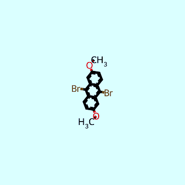 COc1ccc2c(Br)c3cc(OC)ccc3c(Br)c2c1